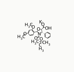 COc1ccc(C2O[C@@H](C(=O)O)[C@H](c3ccccc3)N2C(=O)OC(C)(C)C)c(OC)c1.[K]